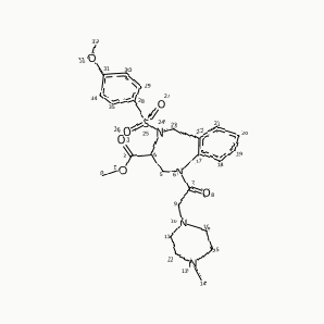 COC(=O)C1CN(C(=O)CN2CCN(C)CC2)c2ccccc2CN1S(=O)(=O)c1ccc(OC)cc1